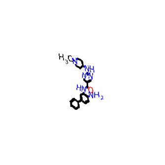 CN1CCC(Nc2ncc(C(=O)Nc3cc(C4C=CC=CC4)ccc3N)cn2)CC1